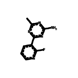 Cc1nc(N)nc(-c2cccnc2F)n1